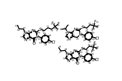 CC(C)n1cnc2c1N=C(SCCC(F)(F)F)N(c1ccc(Cl)cc1)C2.CCCn1cnc2c(=O)n(-c3ccc(Cl)cc3)c(SCCC(F)(F)F)nc21.CCCn1cnc2c(=O)n(-c3ccc(Cl)cc3)c(SCCCC(F)(F)F)nc21